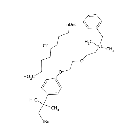 CC(C)(C)CC(C)(C)c1ccc(OCCOCC[N+](C)(C)Cc2ccccc2)cc1.CCCCCCCCCCCCCCCCCC(=O)O.[Cl-]